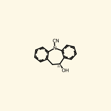 N#CN1c2ccccc2C[C@H](O)c2ccccc21